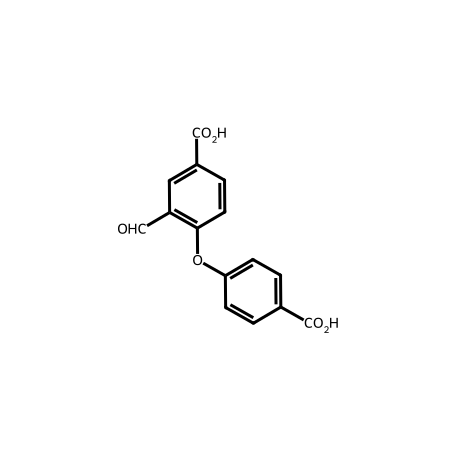 O=Cc1cc(C(=O)O)ccc1Oc1ccc(C(=O)O)cc1